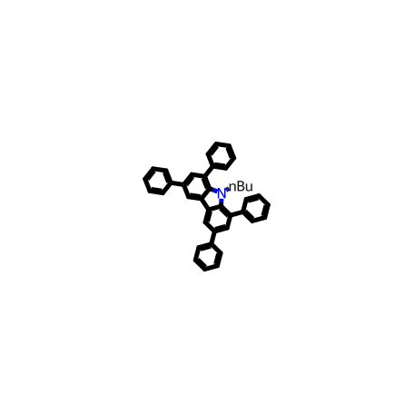 CCCCn1c2c(-c3ccccc3)cc(-c3ccccc3)cc2c2cc(-c3ccccc3)cc(-c3ccccc3)c21